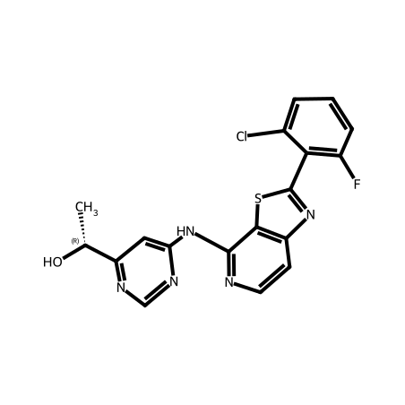 C[C@@H](O)c1cc(Nc2nccc3nc(-c4c(F)cccc4Cl)sc23)ncn1